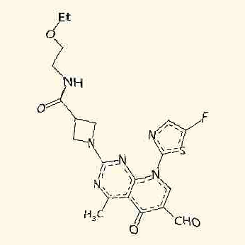 CCOCCNC(=O)C1CN(c2nc(C)c3c(=O)c(C=O)cn(-c4ncc(F)s4)c3n2)C1